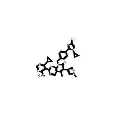 COc1ncnc(C2CC2)c1-c1ncc2c(C)c(-c3cnn(C)c3)c(=O)n(Cc3ccc(-c4nc(C(F)(F)F)cn4C4CC4)cc3)c2n1